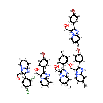 CCc1ccn2c(CO)c(-c3ccc(Br)cc3)nc2c1.CCc1ccn2c(CO)c(-c3ccc(C)cc3)nc2c1.Cc1cccn2c(CO)c(-c3ccc(Br)cc3)nc12.Cc1ccn2c(CO)c(-c3ccc(Br)cc3)nc2c1.OCc1c(-c2ccc(Cl)cc2Cl)nc2ccccn12